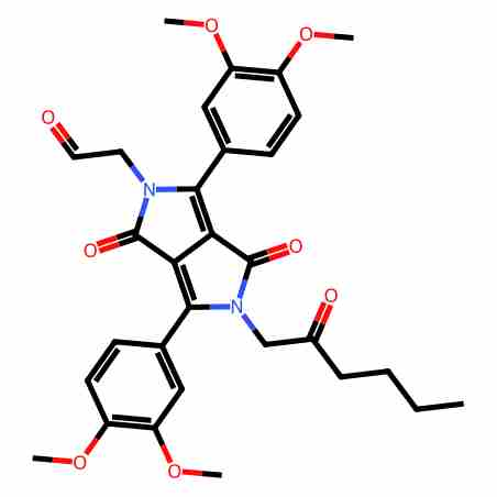 CCCCC(=O)CN1C(=O)C2=C(c3ccc(OC)c(OC)c3)N(CC=O)C(=O)C2=C1c1ccc(OC)c(OC)c1